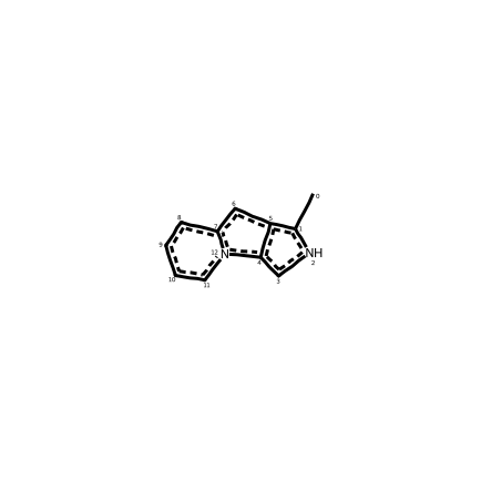 Cc1[nH]cc2c1cc1ccccn12